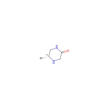 CC(C)[C@@H]1CNC(=O)CN1